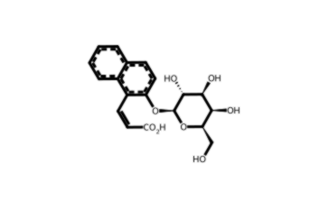 O=C(O)/C=C\c1c(O[C@@H]2O[C@H](CO)[C@H](O)[C@H](O)[C@H]2O)ccc2ccccc12